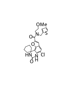 COCCN(Cc1cccs1)C(=O)c1cc2cc(Cl)c3c(c2o1)C1(CCCCC1)NC(=O)N3